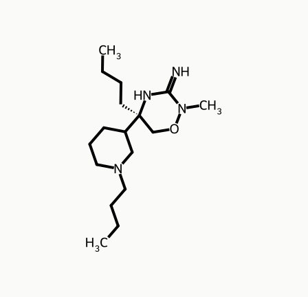 CCCCN1CCCC([C@]2(CCCC)CON(C)C(=N)N2)C1